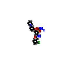 NS(=O)(=O)c1cc(NC(=O)Cc2ccccc2Cl)ccc1Oc1cccc(N2CCCCC2)c1